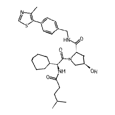 Cc1ncsc1-c1ccc(CNC(=O)[C@@H]2C[C@@H](O)CN2C(=O)[C@@H](NC(=O)CCC(C)C)C2CCCCC2)cc1